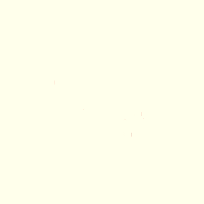 C=C(C)c1ccc2cc(I)ccc2c1